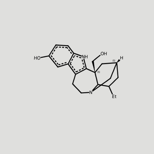 CCC1C[C@@H]2CN3CCc4c([nH]c5ccc(O)cc45)[C@](CO)(C2)C13